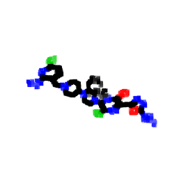 CC[C@H]1CN(c2c(Cl)nc(-c3nnc(N)o3)c(=O)n2C)CCN1C1CCN(Cc2ccc(Cl)nc2N)CC1